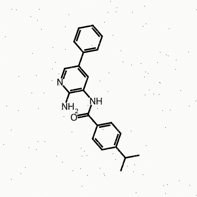 CC(C)c1ccc(C(=O)Nc2cc(-c3ccccc3)cnc2N)cc1